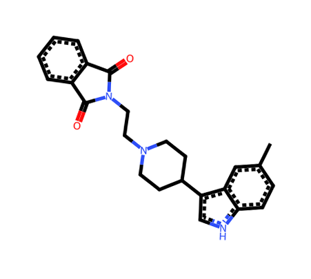 Cc1ccc2[nH]cc(C3CCN(CCN4C(=O)c5ccccc5C4=O)CC3)c2c1